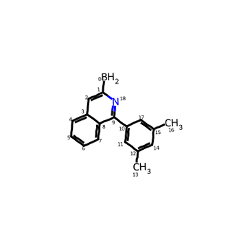 Bc1cc2ccccc2c(-c2cc(C)cc(C)c2)n1